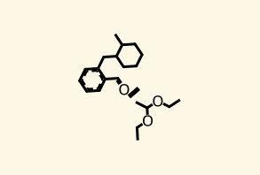 C=C.CC1CCCCC1Cc1ccccc1C=O.CCOC(C)OCC